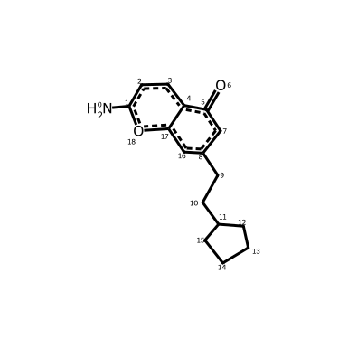 Nc1ccc2c(=O)cc(CCC3CCCC3)cc-2o1